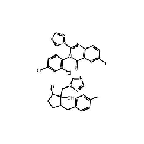 CC(C)C1CCC(Cc2ccc(Cl)cc2)C1(O)Cn1cncn1.O=c1c2cc(F)ccc2nc(-n2cncn2)n1-c1ccc(Cl)cc1Cl